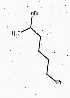 CCCCC(C)[CH]CCCC(C)C